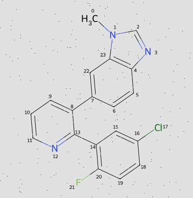 Cn1cnc2ccc(-c3cccnc3-c3cc(Cl)ccc3F)cc21